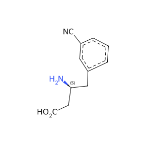 N#Cc1cccc(C[C@H](N)CC(=O)O)c1